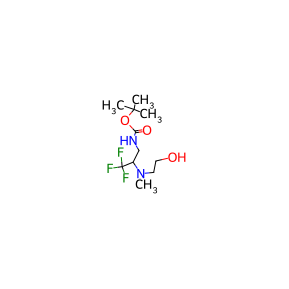 CN(CCO)C(CNC(=O)OC(C)(C)C)C(F)(F)F